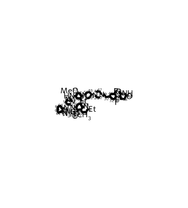 CCc1ccc2c(P(C)(C)=O)c(Nc3nc(Nc4cc(CC)c(N5CCC(N6CCN(CCc7cc(F)c([C@H]8CCC(=O)NC8=O)c(F)c7)CC6)CC5)cc4OC)ncc3-n3nnc4ccccc43)ccc2n1